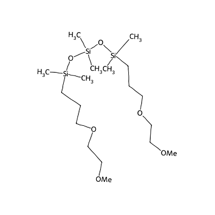 COCCOCCC[Si](C)(C)O[Si](C)(C)O[Si](C)(C)CCCOCCOC